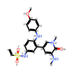 C=CS(=O)(=O)Nc1ccc(Nc2ccc(OC)cc2)c(-c2cc(NC)c(=O)n(C)c2)c1